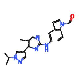 Cc1cnc(Nc2ccc3c(ccn3C=O)c2)nc1-c1cnn(C(C)C)c1